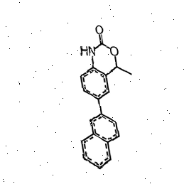 CC1OC(=O)Nc2ccc(-c3ccc4ccccc4c3)cc21